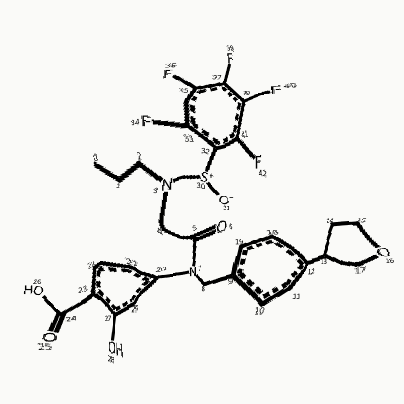 CCCN(CC(=O)N(Cc1ccc(C2CCOC2)cc1)c1ccc(C(=O)O)c(O)c1)[S+]([O-])c1c(F)c(F)c(F)c(F)c1F